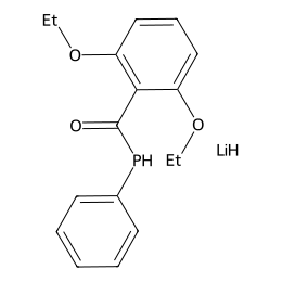 CCOc1cccc(OCC)c1C(=O)Pc1ccccc1.[LiH]